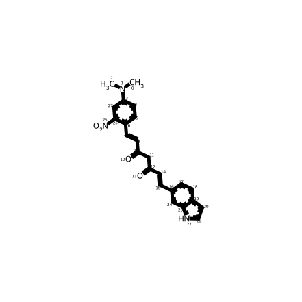 CN(C)c1ccc(C=CC(=O)CC(=O)C=Cc2ccc3cc[nH]c3c2)c([N+](=O)[O-])c1